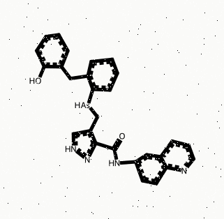 O=C(Nc1ccc2ncccc2c1)c1n[nH]cc1C[AsH]c1ccccc1Cc1ccccc1O